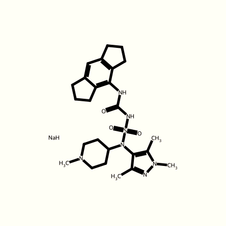 Cc1nn(C)c(C)c1N(C1CCN(C)CC1)S(=O)(=O)NC(=O)Nc1c2c(cc3c1CCC3)CCC2.[NaH]